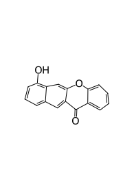 O=c1c2ccccc2oc2cc3c(O)cccc3cc12